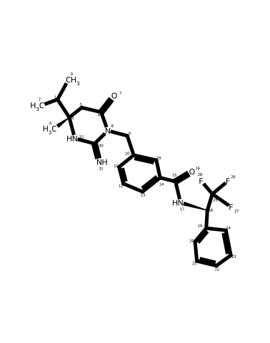 CC(C)[C@]1(C)CC(=O)N(Cc2cccc(C(=O)N[C@H](c3ccccc3)C(F)(F)F)c2)C(=N)N1